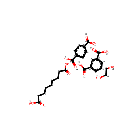 O=C(O)CCCCCCCC(=O)O.O=C(O)c1ccc(C(=O)O)cc1.O=C(O)c1cccc(C(=O)O)c1.OCCO